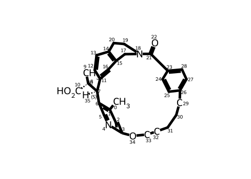 Cc1cc2ncc1[C@@H]([C@@H](C)C(=O)O)c1ccc3c(c1)CN(CC3)C(=O)c1ccc(cc1)CCCCCO2